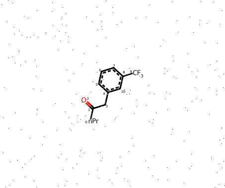 CCCC(=O)Cc1cccc(C(F)(F)F)c1